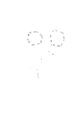 CC(O[Si](c1ccccc1)(c1ccccc1)C(C)(C)C)C(CO)C(F)(F)F